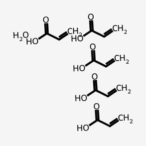 C=CC(=O)O.C=CC(=O)O.C=CC(=O)O.C=CC(=O)O.C=CC(=O)O.O